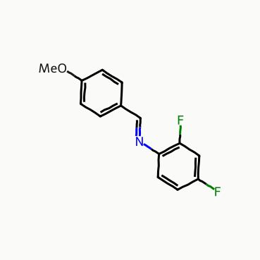 COc1ccc(C=Nc2ccc(F)cc2F)cc1